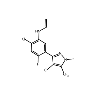 C=CNc1cc(-c2nn(C)c(C(F)(F)F)c2Cl)c(F)cc1Cl